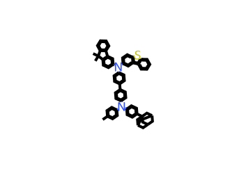 Cc1ccc(N(c2ccc(-c3ccc(N(c4ccc5c(c4)-c4ccccc4C5(C)C)c4ccc5sc6ccccc6c5c4)cc3)cc2)c2ccc(C34CC5CC(CC(C5)C3)C4)cc2)cc1